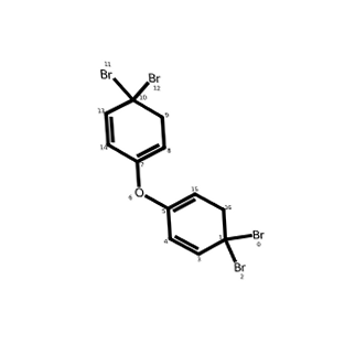 BrC1(Br)C=CC(OC2=CCC(Br)(Br)C=C2)=CC1